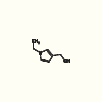 CCn1ccc(CO)c1